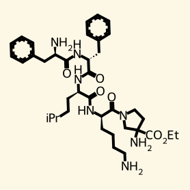 CCOC(=O)C1(N)CCN(C(=O)[C@@H](CCCCN)NC(=O)[C@@H](CCC(C)C)NC(=O)[C@@H](Cc2ccccc2)NC(=O)[C@H](N)Cc2ccccc2)C1